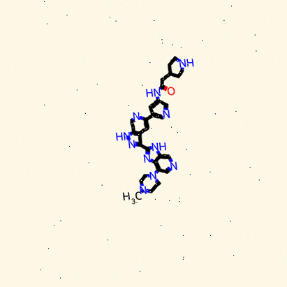 CN1CCN(c2cncc3[nH]c(-c4n[nH]c5cnc(-c6cncc(NC(=O)CC7CCNCC7)c6)cc45)nc23)CC1